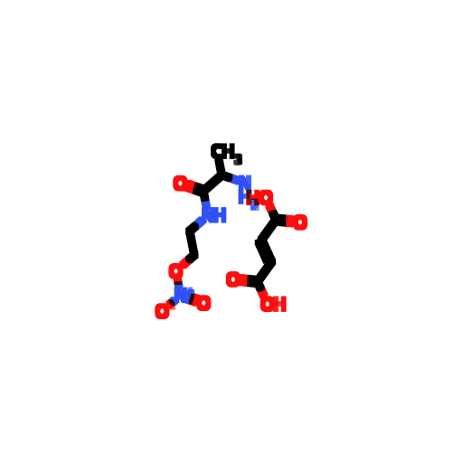 CC(N)C(=O)NCCO[N+](=O)[O-].O=C(O)C=CC(=O)O